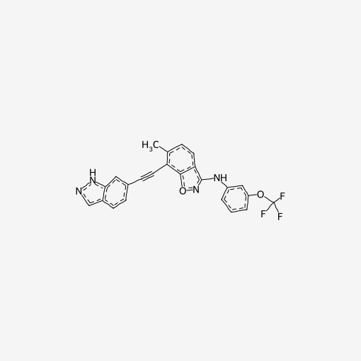 Cc1ccc2c(Nc3cccc(OC(F)(F)F)c3)noc2c1C#Cc1ccc2cn[nH]c2c1